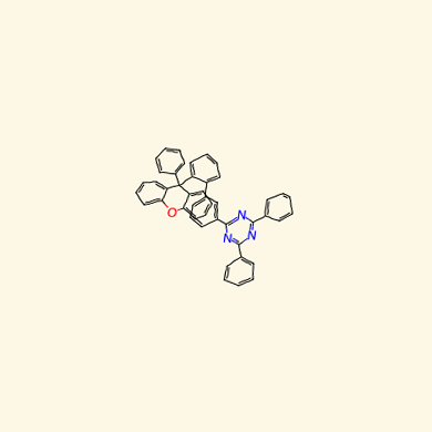 c1ccc(-c2nc(-c3ccccc3)nc(-c3cccc(-c4ccccc4C4(c5ccccc5)c5ccccc5Oc5ccccc54)c3)n2)cc1